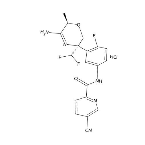 C[C@H]1OC[C@](c2cc(NC(=O)c3ccc(C#N)cn3)ccc2F)(C(F)F)N=C1N.Cl